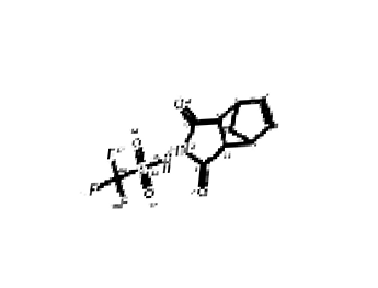 O=C1NC(=O)C2C3C=CC(C3)C12.O=S(=O)(O)C(F)(F)F